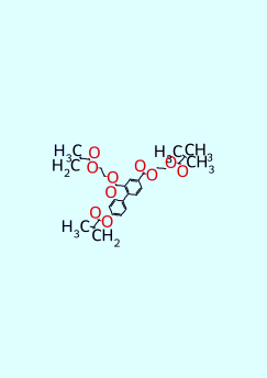 C=C(C)C(=O)OCCOC(=O)c1cc(C(=O)OCCOC(=O)C(C)(C)C)ccc1-c1ccc(OC(=O)C(=C)C)cc1